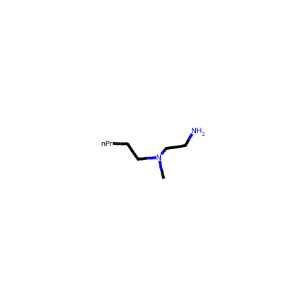 CCCCCN(C)CCN